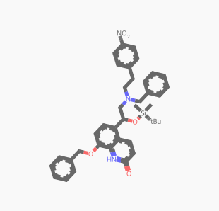 CC(C)(C)[Si](C)(C)OC(CN(CCc1ccc([N+](=O)[O-])cc1)Cc1ccccc1)c1ccc(OCc2ccccc2)c2[nH]c(=O)ccc12